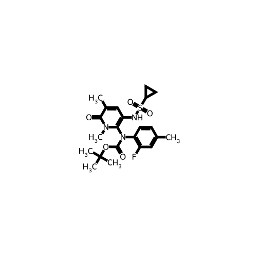 Cc1ccc(N(C(=O)OC(C)(C)C)c2c(NS(=O)(=O)C3CC3)cc(C)c(=O)n2C)c(F)c1